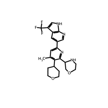 Cc1cc(-c2cnc3[nH]cc(C(F)(F)F)c3c2)nc(C2COCCN2)c1C1CCOCC1